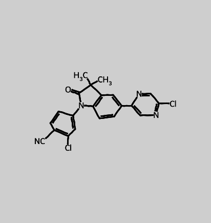 CC1(C)C(=O)N(c2ccc(C#N)c(Cl)c2)c2ccc(-c3cnc(Cl)cn3)cc21